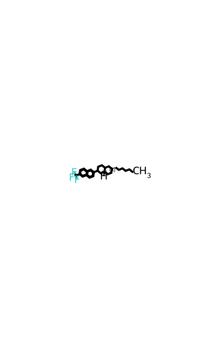 CCCCCCC[C@@H]1CC[C@@H]2CC(c3ccc4cc(C(F)(F)F)ccc4c3)CCC2C1